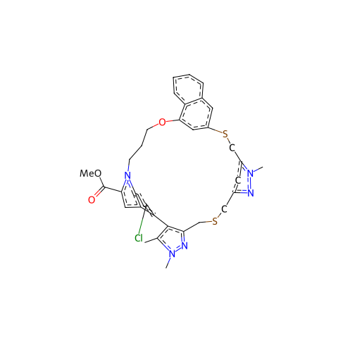 COC(=O)c1cc2c3c(Cl)ccc2n1CCCOc1cc(cc2ccccc12)SCc1cc(nn1C)CSCc1nn(C)c(C)c1-3